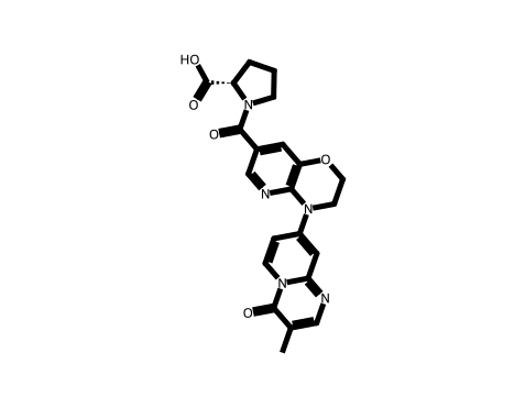 Cc1cnc2cc(N3CCOc4cc(C(=O)N5CCC[C@H]5C(=O)O)cnc43)ccn2c1=O